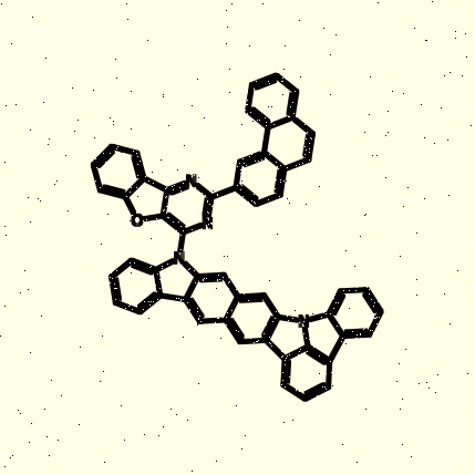 c1ccc2c(c1)ccc1ccc(-c3nc(-n4c5ccccc5c5cc6cc7c8cccc9c%10ccccc%10n(c7cc6cc54)c98)c4oc5ccccc5c4n3)cc12